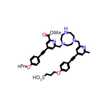 CCCOc1ccc(C#Cc2cc(CN3CCNCCN(Cc4cc(C#Cc5ccc(OCCCS(=O)(=O)O)cc5)cc(C)n4)CC3)nc(C(=O)OC)c2)cc1